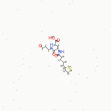 O=CCCNC(=O)C(CCC(=O)O)NC(=O)CCCCC1CCSS1